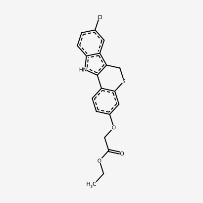 CCOC(=O)COc1ccc2c(c1)SCc1c-2[nH]c2ccc(Cl)cc12